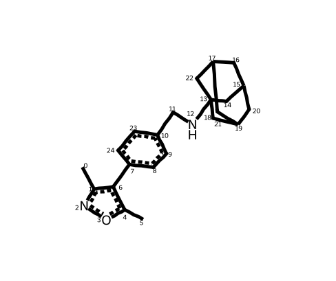 Cc1noc(C)c1-c1ccc(CNC23CC4CC(CC(C4)C2)C3)cc1